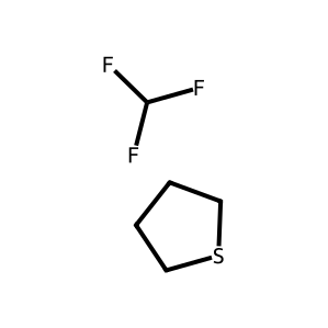 C1CCSC1.FC(F)F